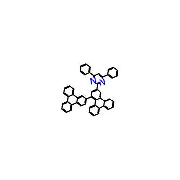 c1ccc(-c2cc(-c3ccccc3)nc(-c3cc(-c4ccc5c6ccccc6c6ccccc6c5c4)c4c5ccccc5c5ccccc5c4c3)n2)cc1